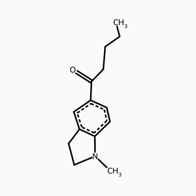 CCCCC(=O)c1ccc2c(c1)CCN2C